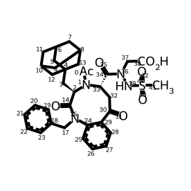 CC(=O)N1[C@H](CC23CC4CC(CC(C4)C2)C3)C(=O)N(Cc2ccccc2)c2ccccc2C(=O)C[C@H]1C(=O)N(CC(=O)O)NS(C)(=O)=O